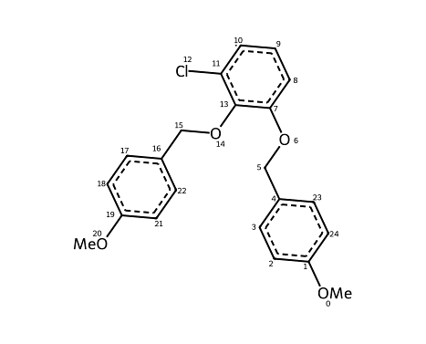 COc1ccc(COc2cc[c]c(Cl)c2OCc2ccc(OC)cc2)cc1